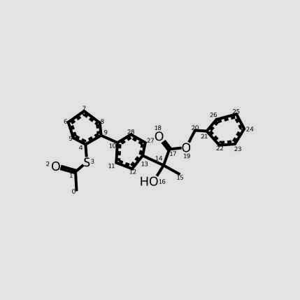 CC(=O)Sc1ccccc1-c1ccc(C(C)(O)C(=O)OCc2ccccc2)cc1